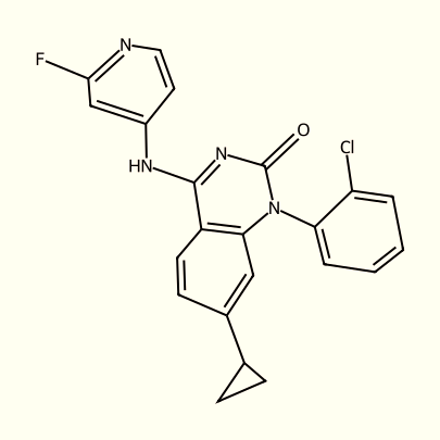 O=c1nc(Nc2ccnc(F)c2)c2ccc(C3CC3)cc2n1-c1ccccc1Cl